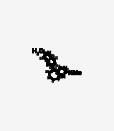 CNc1ncc2c(n1)CCCC=C2c1ccc2nc(C)cn2n1